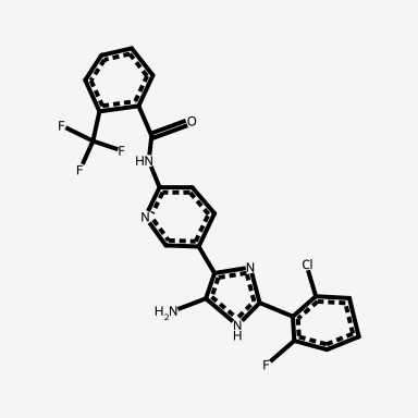 Nc1[nH]c(-c2c(F)cccc2Cl)nc1-c1ccc(NC(=O)c2ccccc2C(F)(F)F)nc1